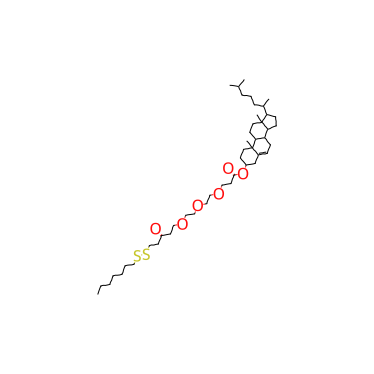 CCCCCCCSSCCC(=O)CCOCCOCCOCCC(=O)OC1CCC2(C)C(=CCC3C2CCC2(C)C(C(C)CCCC(C)C)CCC32)C1